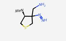 CN[C@@H]1CSCC1(CN)N=N